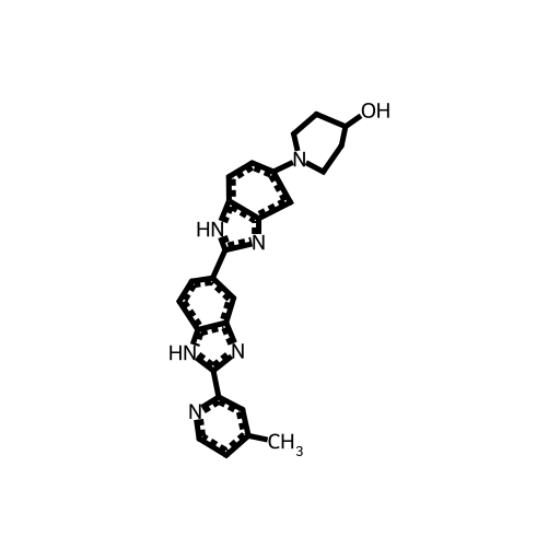 Cc1ccnc(-c2nc3cc(-c4nc5cc(N6CCC(O)CC6)ccc5[nH]4)ccc3[nH]2)c1